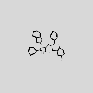 O=C(c1cc(Cl)ccc1Cl)N(Cc1ccccc1)Cc1cnc(-c2ccccc2)n1C1Cc2ccccc2C1